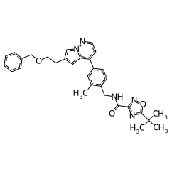 Cc1cc(-c2ccnn3cc(CCOCc4ccccc4)cc23)ccc1CNC(=O)c1noc(C(C)(C)C)n1